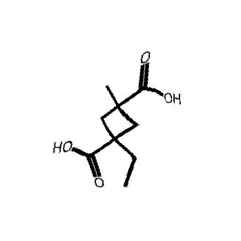 CCC1(C(=O)O)CC(C)(C(=O)O)C1